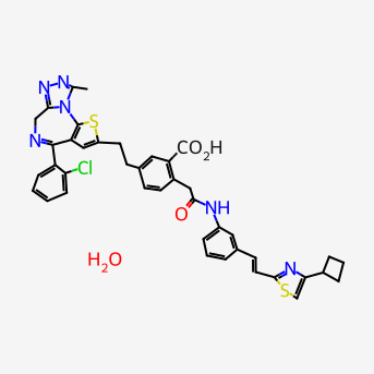 Cc1nnc2n1-c1sc(CCc3ccc(CC(=O)Nc4cccc(C=Cc5nc(C6CCC6)cs5)c4)c(C(=O)O)c3)cc1C(c1ccccc1Cl)=NC2.O